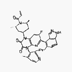 C=CC(=O)N1[C@@H](C)CC(n2c(=O)c(=O)n(-c3c(C)ccnc3C(C)C)c3nc(-c4c(C)ccc5[nH]ncc45)c(F)cc32)C[C@@H]1C